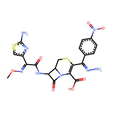 CON=C(C(=O)NC1C(=O)N2C(C(=O)O)=C(C(=NN)c3ccc([N+](=O)[O-])cc3)SCC12)c1csc(N)n1